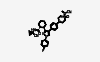 CN(C#N)[SH]1(=O)CCN(c2ccc(-c3cn(-c4ccc(F)cc4)nc3[C@@H]3CCCC[C@H]3C(=O)NC3(C#N)CC3)cc2)CC1